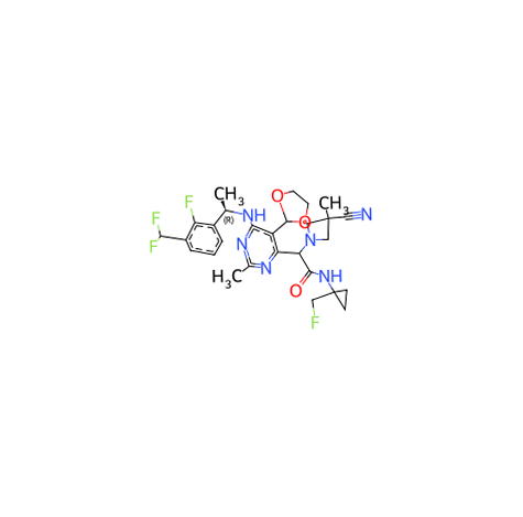 Cc1nc(N[C@H](C)c2cccc(C(F)F)c2F)c(C2OCCO2)c(C(C(=O)NC2(CF)CC2)N2CC(C)(C#N)C2)n1